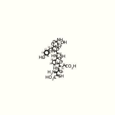 NC(=O)[C@H](CO)NC(=O)[C@H](Cc1ccc(O)cc1)NC(=O)[C@H](CS)NC(=O)[C@@H]1CCCN1C(=O)[C@H](CCC(=O)O)NC(=O)[C@@H](N)[C@@H](S)C(=O)O